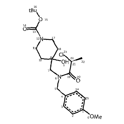 COc1ccc(CN(CC2(O)CCN(C(=O)OC(C)(C)C)CC2)C(=O)[C@H](C)Cl)cc1